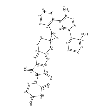 Nc1ccc(-c2ccccc2O)nc1-c1cnccc1N1CC12CCc1cc3c(cc1O2)C(=O)N(C1C=CC(=O)NC1=O)C3=O